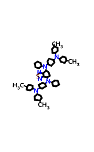 Cc1ccc(N(c2ccc(C)cc2)c2ccc(N(c3ccccc3)c3ccc(N(c4ccccc4)c4ccc(N(c5ccc(C)cc5)c5ccc(C)cc5)cc4)c4nsnc34)cc2)cc1